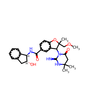 COCC1(C)Oc2ccc(C(=O)N[C@@H]3c4ccccc4C[C@H]3O)cc2C1N1C(=N)NC(C)(C)CC1=O